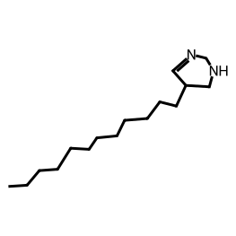 CCCCCCCCCCCCC1C=NCNC1